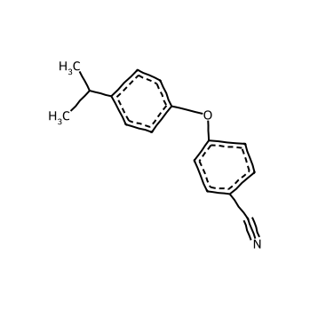 CC(C)c1ccc(Oc2ccc(C#N)cc2)cc1